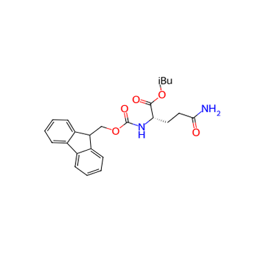 CCC(C)OC(=O)[C@H](CCC(N)=O)NC(=O)OCC1c2ccccc2-c2ccccc21